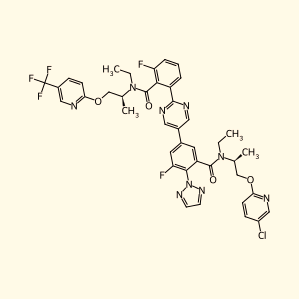 CCN(C(=O)c1cc(-c2cnc(-c3cccc(F)c3C(=O)N(CC)[C@@H](C)COc3ccc(C(F)(F)F)cn3)nc2)cc(F)c1-n1nccn1)[C@@H](C)COc1ccc(Cl)cn1